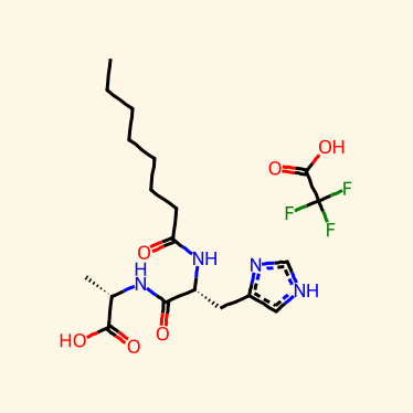 CCCCCCCC(=O)N[C@H](Cc1c[nH]cn1)C(=O)N[C@@H](C)C(=O)O.O=C(O)C(F)(F)F